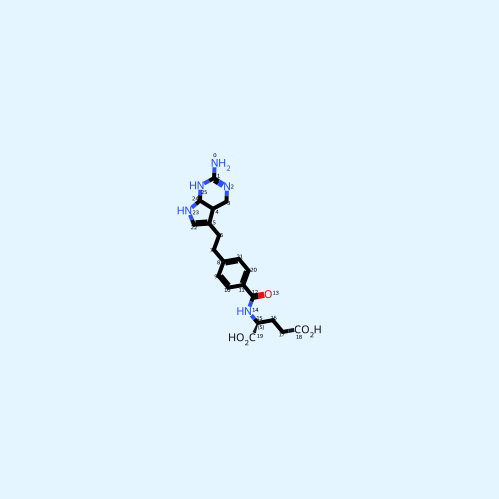 NC1=NCC2C(CCc3ccc(C(=O)N[C@@H](CCC(=O)O)C(=O)O)cc3)=CNC2N1